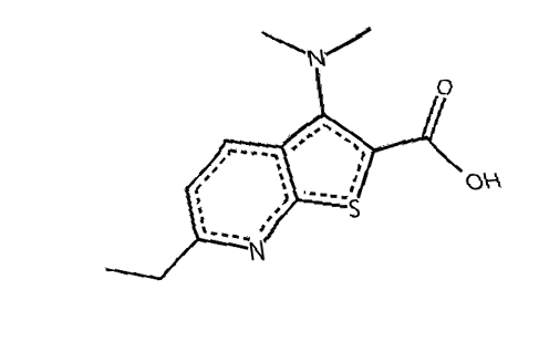 CCc1ccc2c(N(C)C)c(C(=O)O)sc2n1